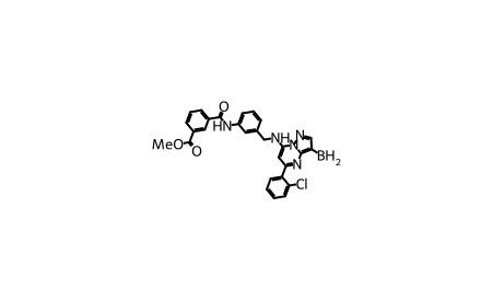 Bc1cnn2c(NCc3cccc(NC(=O)c4cccc(C(=O)OC)c4)c3)cc(-c3ccccc3Cl)nc12